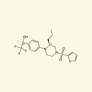 CCC[C@H]1CN(S(=O)(=O)c2cccs2)CCN1c1ccc([C@](C)(O)C(F)(F)F)cc1